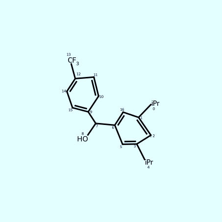 CC(C)c1[c]c(C(C)C)cc(C(O)c2ccc(C(F)(F)F)cc2)c1